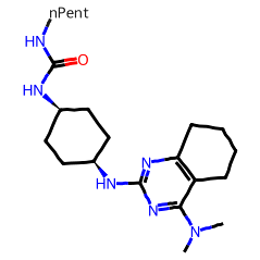 CCCCCNC(=O)N[C@H]1CC[C@@H](Nc2nc3c(c(N(C)C)n2)CCCC3)CC1